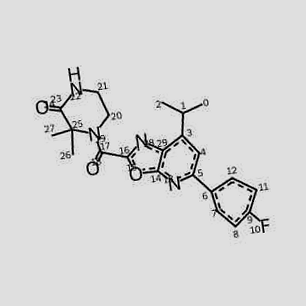 CC(C)c1cc(-c2ccc(F)cc2)nc2oc(C(=O)N3CCNC(=O)C3(C)C)nc12